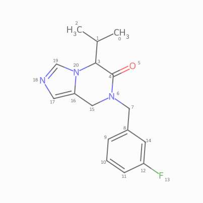 CC(C)C1C(=O)N(Cc2cccc(F)c2)Cc2cncn21